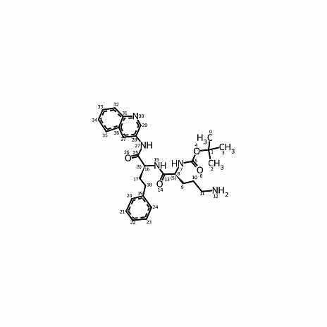 CC(C)(C)OC(=O)N[C@@H](CCCN)C(=O)N[C@@H](CCc1ccccc1)C(=O)Nc1cnc2ccccc2c1